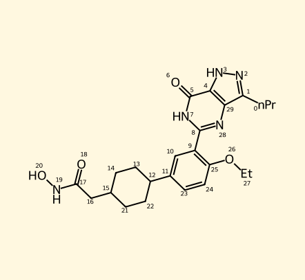 CCCc1n[nH]c2c(=O)[nH]c(-c3cc(C4CCC(CC(=O)NO)CC4)ccc3OCC)nc12